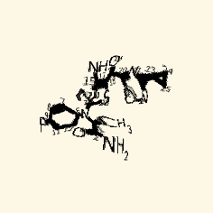 CC(C(N)=O)N(c1ccc(F)cc1)c1nc(N)c(C(=O)c2nc(C3CC3)no2)s1